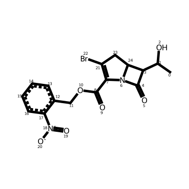 CC(O)C1C(=O)N2C(C(=O)OCc3ccccc3[N+](=O)[O-])=C(Br)CC12